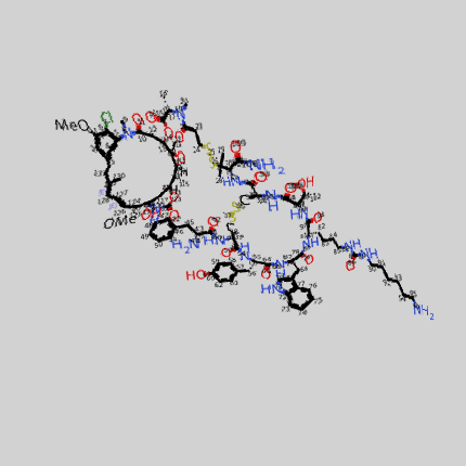 COc1cc2cc(c1Cl)N(C)C(=O)C[C@H](OC(=O)[C@H](C)N(C)C(=O)CCSSC(C)(C)[C@H](NC(=O)[C@@H]1CSSC[C@H](NC(=O)[C@H](N)Cc3ccccc3)C(=O)N[C@@H](Cc3ccc(O)cc3)C(=O)N[C@H](Cc3c[nH]c4ccccc34)C(=O)N[C@@H](CCCCNC(=O)NCCCCCCN)C(=O)N[C@@H]([C@@H](C)O)C(=O)N1)C(N)=O)[C@]1(C)O[C@H]1[C@H](C)[C@@H]1C[C@@](O)(NC(=O)O1)[C@H](OC)/C=C/C=C(\C)C2